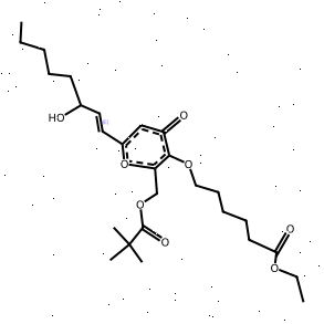 CCCCCC(O)/C=C/c1cc(=O)c(OCCCCCC(=O)OCC)c(COC(=O)C(C)(C)C)o1